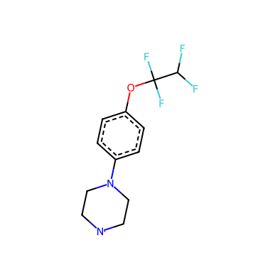 FC(F)C(F)(F)Oc1ccc(N2CC[N]CC2)cc1